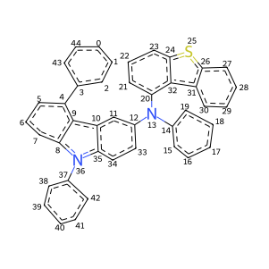 c1ccc(-c2cccc3c2c2cc(N(c4ccccc4)c4cccc5sc6ccccc6c45)ccc2n3-c2ccccc2)cc1